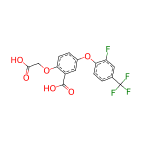 O=C(O)COc1ccc(Oc2ccc(C(F)(F)F)cc2F)cc1C(=O)O